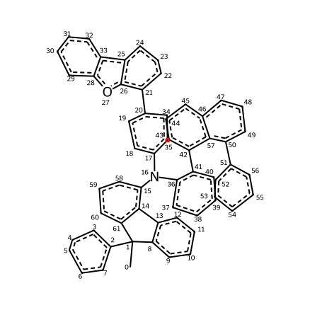 CC1(c2ccccc2)c2ccccc2-c2c(N(c3ccc(-c4cccc5c4oc4ccccc45)cc3)c3ccccc3-c3cccc4cccc(-c5ccccc5)c34)cccc21